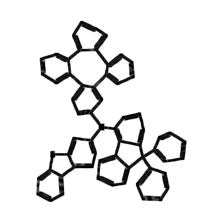 c1ccc(C2(c3ccccc3)c3ccccc3-c3c(N(c4ccc5c(c4)-c4ccccc4-c4ccccc4-c4ccccc4-5)c4ccc5c(c4)sc4ccccc45)cccc32)cc1